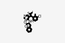 Cc1c(Cl)cccc1-c1c(I)sc2ncnc(NC(Cc3ccccc3)C(=O)O)c12